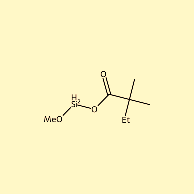 CCC(C)(C)C(=O)O[SiH2]OC